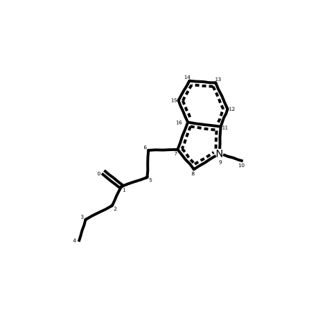 C=C(CCC)CCc1cn(C)c2ccccc12